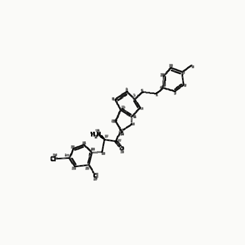 Cc1ccc(CCc2ccc3c(c2)CN(C(=O)[C@H](N)Cc2ccc(Cl)cc2Cl)C3)cc1